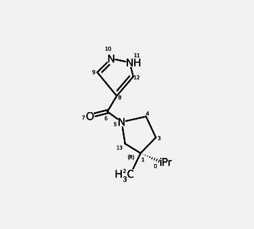 CC(C)[C@@]1(C)CCN(C(=O)c2cn[nH]c2)C1